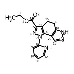 CCOC(=O)c1nn(-c2ccccn2)c2c1CCc1[nH]ncc1-2